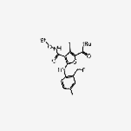 CCONC(=O)c1c(Nc2ccc(C)cc2CF)sc(C(=O)C(C)(C)C)c1C